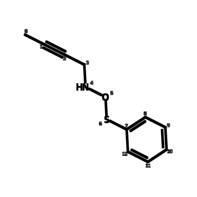 CC#CCNOSc1ccccc1